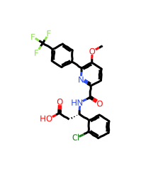 COc1ccc(C(=O)N[C@@H](CC(=O)O)c2ccccc2Cl)nc1-c1ccc(C(F)(F)F)cc1